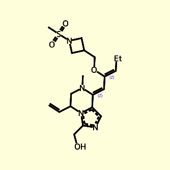 C=CC1CN(C)/C(=C\C(=C\CC)OCC2CN(S(C)(=O)=O)C2)c2cnc(CO)n21